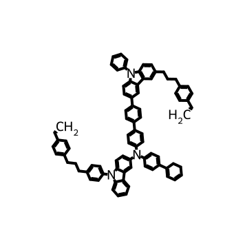 C=Cc1ccc(CCCc2ccc(-n3c4ccccc4c4cc(N(c5ccc(C6=CC=CCC6)cc5)c5ccc(-c6ccc(-c7ccc8c(c7)c7cc(CCCc9ccc(C=C)cc9)ccc7n8-c7ccccc7)cc6)cc5)ccc43)cc2)cc1